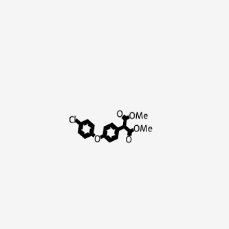 COC(=O)C(C(=O)OC)c1ccc(Oc2ccc(Cl)cc2)cc1